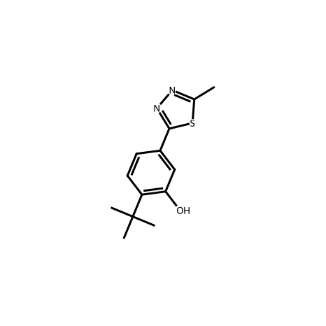 Cc1nnc(-c2ccc(C(C)(C)C)c(O)c2)s1